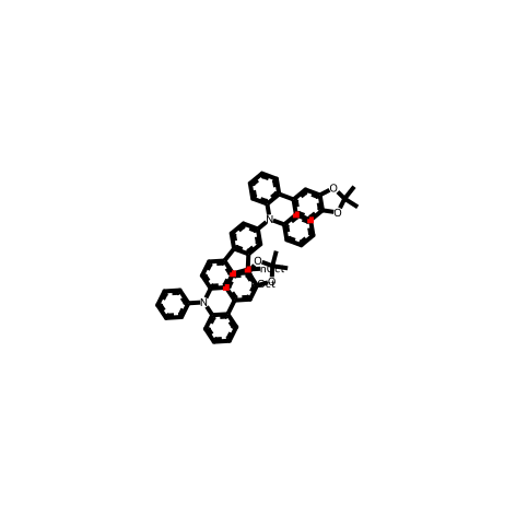 CCCCCCCCC1(CCCCCCCC)c2cc(N(c3ccccc3)c3ccccc3-c3ccc4c(c3)OC(C)(C)O4)ccc2-c2ccc(N(c3ccccc3)c3ccccc3-c3ccc4c(c3)OC(C)(C)O4)cc21